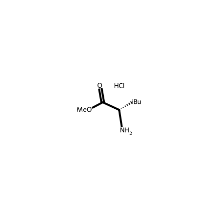 CCC(C)[C@H](N)C(=O)OC.Cl